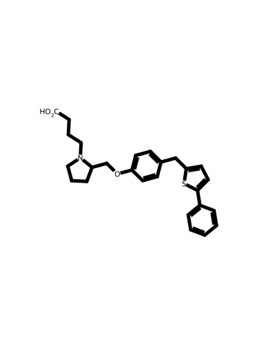 O=C(O)CCCN1CCCC1COc1ccc(Cc2ccc(-c3ccccc3)s2)cc1